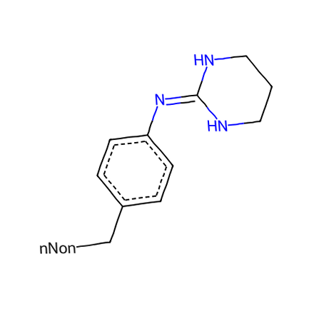 CCCCCCCCCCc1ccc(N=C2NCCCN2)cc1